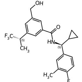 Cc1cc([C@@H](NC(=O)c2cc(CO)cc([C@H](C)C(F)(F)F)c2)C2CC2)ccc1F